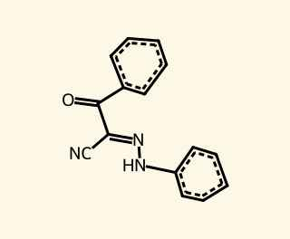 N#C/C(=N\Nc1ccccc1)C(=O)c1ccccc1